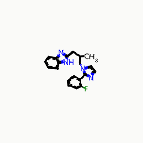 CC(Cc1nc2ccccc2[nH]1)Cn1ccnc1-c1ccccc1F